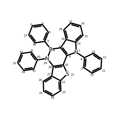 c1ccc(B2c3c(n(-c4ccccc4)c4ccccc34)-c3sc4ccccc4c3N2c2ccccc2)cc1